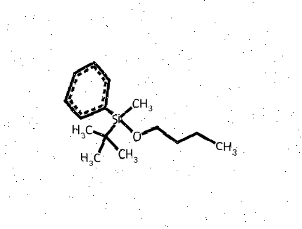 CCCCO[Si](C)(c1ccccc1)C(C)(C)C